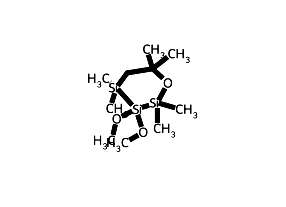 CO[Si]1(OC)[Si](C)(C)CC(C)(C)O[Si]1(C)C